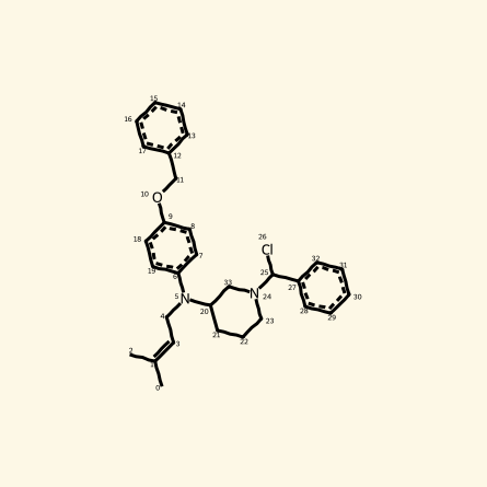 CC(C)=CCN(c1ccc(OCc2ccccc2)cc1)C1CCCN(C(Cl)c2ccccc2)C1